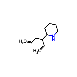 C=CCC(C=C)C1CCCCN1